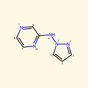 c1cnn(Nc2cnccn2)c1